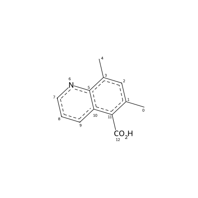 Cc1cc(C)c2ncccc2c1C(=O)O